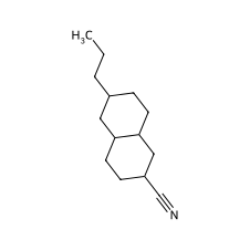 CCCC1CCC2CC(C#N)CCC2C1